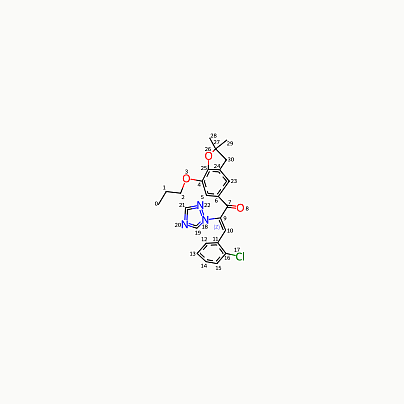 CCCOc1cc(C(=O)/C(=C/c2ccccc2Cl)n2cncn2)cc2c1OC(C)(C)C2